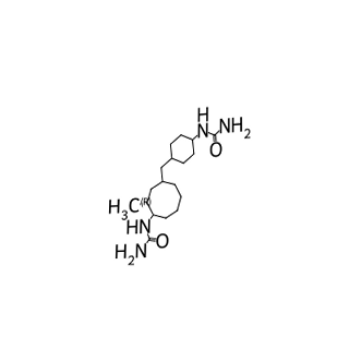 C[C@@H]1CC(CC2CCC(NC(N)=O)CC2)CCCCC1NC(N)=O